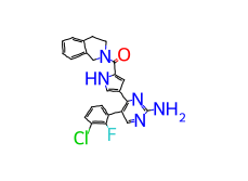 Nc1ncc(-c2cccc(Cl)c2F)c(-c2c[nH]c(C(=O)N3CCc4ccccc4C3)c2)n1